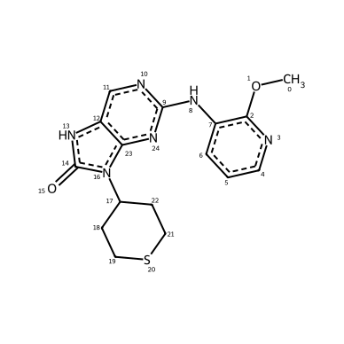 COc1ncccc1Nc1ncc2[nH]c(=O)n(C3CCSCC3)c2n1